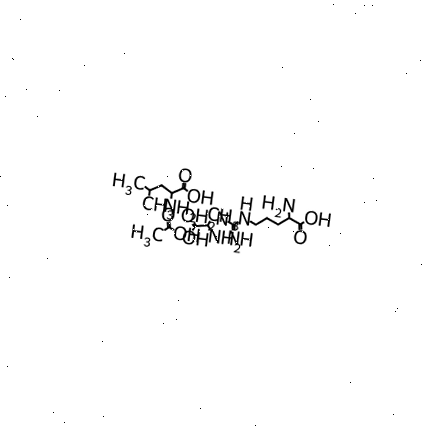 CC(=O)O.CC(C)CC(N)C(=O)O.CC(N)C(=O)O.N=C(N)NCCCC(N)C(=O)O